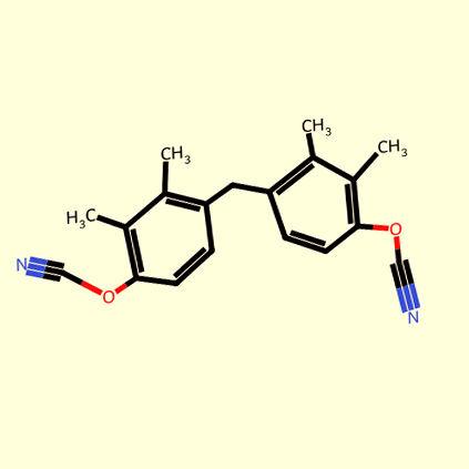 Cc1c(Cc2ccc(OC#N)c(C)c2C)ccc(OC#N)c1C